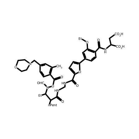 CCCCCC(C(=O)NCNC(=O)c1ccc(-c2ccc(C(=O)NC(CC(=O)O)C(=O)O)c(OCC)c2)o1)C(CC)N(C=O)OC(=O)c1ccc(CN2CCOCC2)cc1C